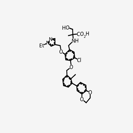 CCn1cc(COc2cc(OCc3cccc(-c4ccc5c(c4)OCCO5)c3C)c(Cl)cc2CNC(C)(CO)C(=O)O)cn1